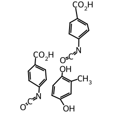 Cc1cc(O)ccc1O.O=C=Nc1ccc(C(=O)O)cc1.O=C=Nc1ccc(C(=O)O)cc1